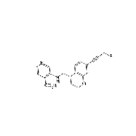 O=C(O)c1ccncc1NCC1CCOc2cc(C#CCF)ccc21